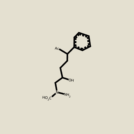 CC(=O)C(CCC(O)CN(N)C(=O)O)c1ccccc1